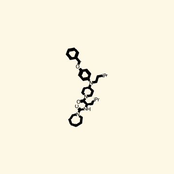 CC(C)CCN(c1ccc(OCc2ccccc2)cc1)C1CCN(C(=O)C(CC(C)C)NC(=O)N2CCCCCC2)CC1